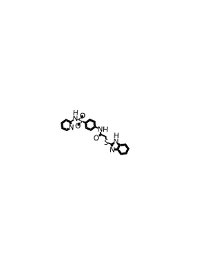 O=C(CSc1nc2ccccc2[nH]1)Nc1ccc(S(=O)(=O)Nc2ccccn2)cc1